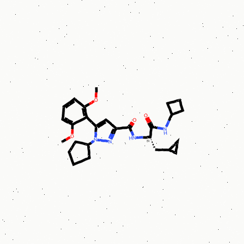 COc1cccc(OC)c1-c1cc(C(=O)N[C@@H](CC2CC2)C(=O)NC2CCC2)nn1C1CCCC1